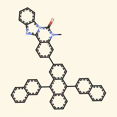 Cn1c(=O)n2c3ccccc3nc2c2ccc(-c3ccc4c(-c5ccc6ccccc6c5)c5ccccc5c(-c5ccc6ccccc6c5)c4c3)cc21